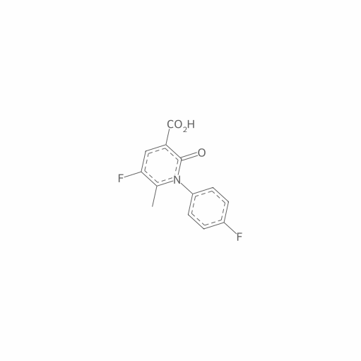 Cc1c(F)cc(C(=O)O)c(=O)n1-c1ccc(F)cc1